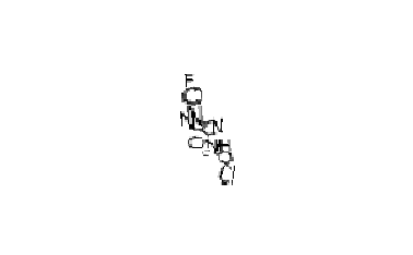 O=C(NC1(c2cccc(Cl)c2)CC1)c1cncc2c1cnn2-c1ccc(F)cc1